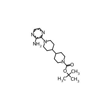 CC(C)(C)OC(=O)N1CCC(C2CCN(c3nccnc3N)CC2)CC1